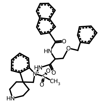 CS(=O)(=O)[N+]1(NC(=O)C(COCc2ccccc2)NC(=O)c2ccc3ccccc3c2)CC2(CCNCC2)c2ccccc21